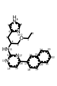 CCOCC(Cc1c[nH]cn1)Nc1nccc(-c2ccc3ccccc3c2)n1